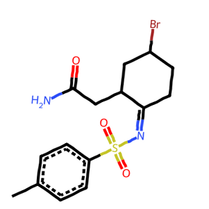 Cc1ccc(S(=O)(=O)/N=C2/CCC(Br)CC2CC(N)=O)cc1